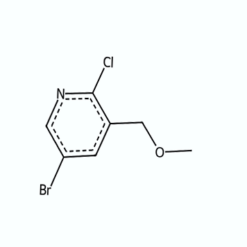 COCc1cc(Br)cnc1Cl